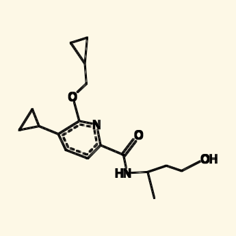 CC(CCO)NC(=O)c1ccc(C2CC2)c(OCC2CC2)n1